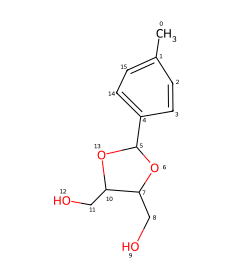 Cc1ccc(C2OC(CO)C(CO)O2)cc1